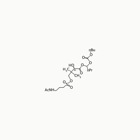 CCCCOC(=O)OC(CCC)OC(=O)[C@H](O)C(C)(C)COS(=O)(=O)CCCNC(C)=O